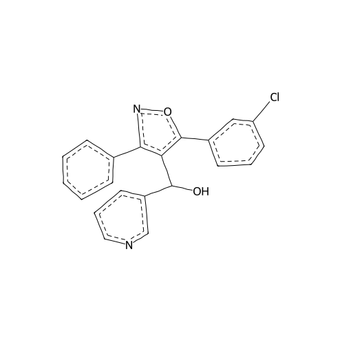 OC(c1cccnc1)c1c(-c2ccccc2)noc1-c1cccc(Cl)c1